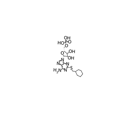 Nc1nc(SCC2CCCCC2)nc2c1ncn2[C@@H]1O[C@H](COP(=O)(O)O)[C@@H](O)[C@H]1O